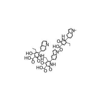 CCc1c(-c2ccc3c(ccn3C)c2)[nH]c(=O)c(C(=O)O)c1O.CCc1c(-c2ccc3ncccc3c2)[nH]c(=O)c(C(=O)O)c1O.CCc1cc(C(=O)O)c(=O)[nH]c1-c1ccc2c(ccn2C)c1